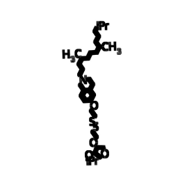 CC(C)CCCC(C)CCCC(C)CCCN1CCc2cc(OCCSSCCOC3COCC3OC(C)C)ccc2C1